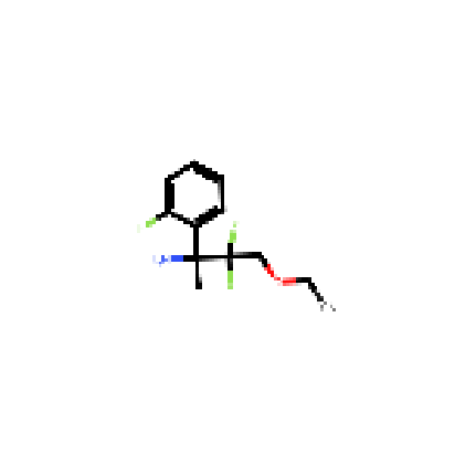 C[C@@](N)(c1ccccc1F)C(F)(F)COCC#N